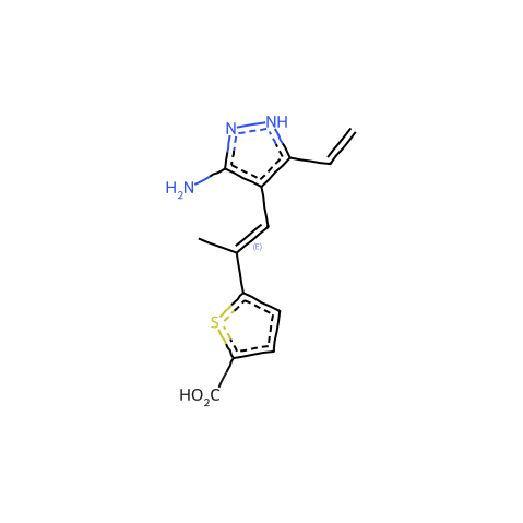 C=Cc1[nH]nc(N)c1/C=C(\C)c1ccc(C(=O)O)s1